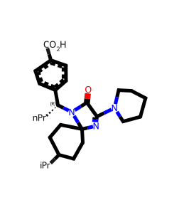 CCC[C@H](c1ccc(C(=O)O)cc1)N1C(=O)C(N2CCCCC2)=NC12CCC(C(C)C)CC2